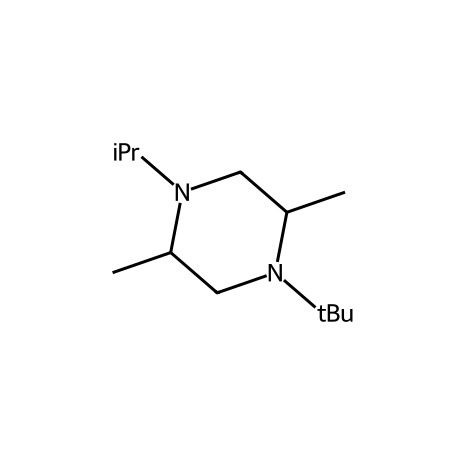 CC(C)N1CC(C)N(C(C)(C)C)CC1C